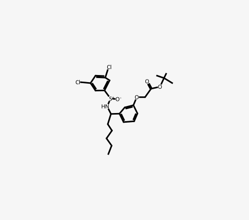 CCCCCC(N[S+]([O-])c1cc(Cl)cc(Cl)c1)c1cccc(OCC(=O)OC(C)(C)C)c1